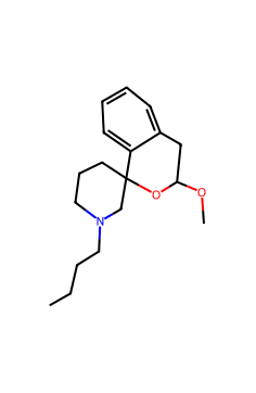 CCCCN1CCCC2(C1)OC(OC)Cc1ccccc12